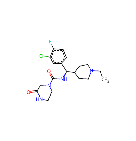 O=C1CN(C(=O)N[C@@H](c2ccc(F)c(Cl)c2)C2CCN(CC(F)(F)F)CC2)CCN1